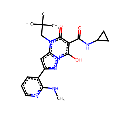 CNc1ncccc1-c1cc2n(CC(C)(C)C)c(=O)c(C(=O)NC3CC3)c(O)n2n1